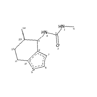 CNC(=O)NC1c2ccsc2CCC1C